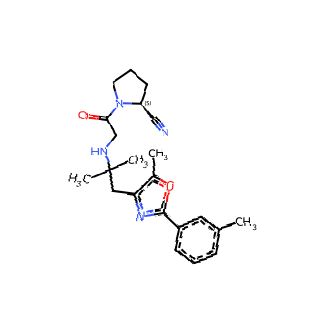 Cc1cccc(-c2nc(CC(C)(C)NCC(=O)N3CCC[C@H]3C#N)c(C)o2)c1